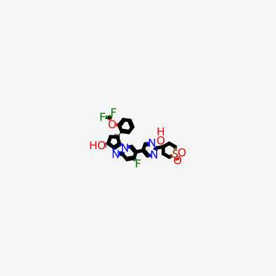 O=S1(=O)CCC(O)(c2ncc(-c3cn4c5c(nc4cc3F)[C@H](O)C[C@@H]5c3ccccc3OC(F)F)cn2)CC1